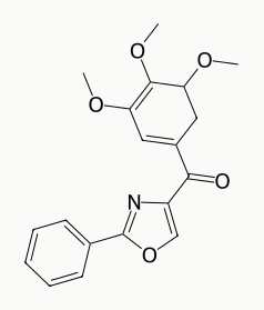 COC1=C(OC)C(OC)CC(C(=O)c2coc(-c3ccccc3)n2)=C1